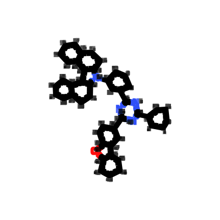 c1ccc(-c2nc(-c3cccc(-n4c5ccc6ccccc6c5c5c6ccccc6ccc54)c3)nc(-c3ccc4oc5ccccc5c4c3)n2)cc1